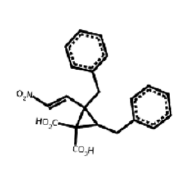 O=C(O)C1(C(=O)O)C(Cc2ccccc2)C1(/C=C/[N+](=O)[O-])Cc1ccccc1